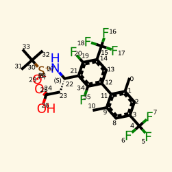 Cc1cc(C(F)(F)F)cc(C)c1-c1cc(C(F)(F)F)c(F)c([C@H](CC(=O)O)N[S@+]([O-])C(C)(C)C)c1F